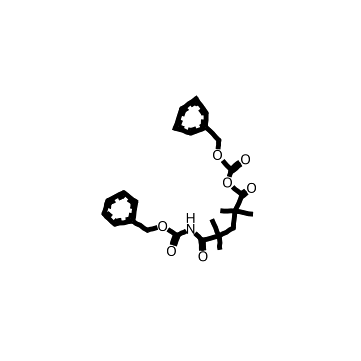 CC(C)(CC(C)(C)C(=O)OC(=O)OCc1ccccc1)C(=O)NC(=O)OCc1ccccc1